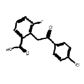 O=C(Cc1c(F)cccc1C(=O)O)c1ccc(Cl)cc1